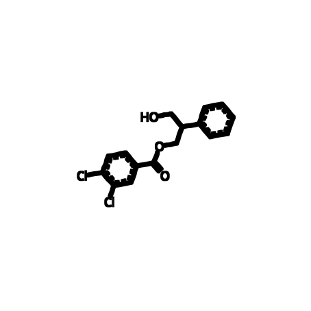 O=C(OCC(CO)c1ccccc1)c1ccc(Cl)c(Cl)c1